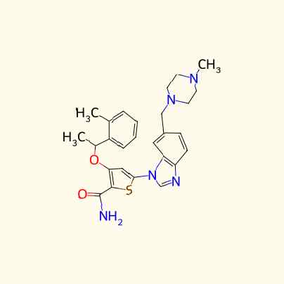 Cc1ccccc1C(C)Oc1cc(-n2cnc3ccc(CN4CCN(C)CC4)cc32)sc1C(N)=O